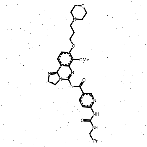 COc1c(OCCCN2CCOCC2)ccc2c1N=C(NC(=O)c1ccc(NC(=O)NCC(C)C)nc1)N1CCN=C21